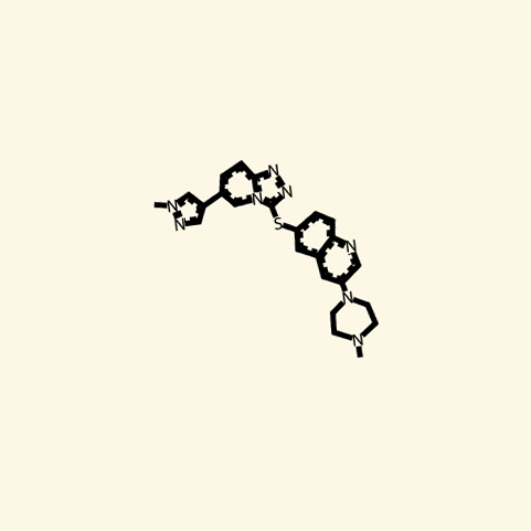 CN1CCN(c2cnc3ccc(Sc4nnc5ccc(-c6cnn(C)c6)cn45)cc3c2)CC1